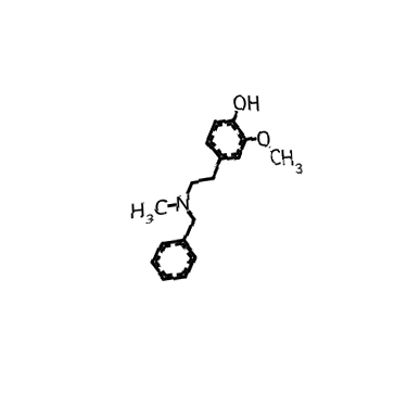 COc1cc(CCN(C)Cc2ccccc2)ccc1O